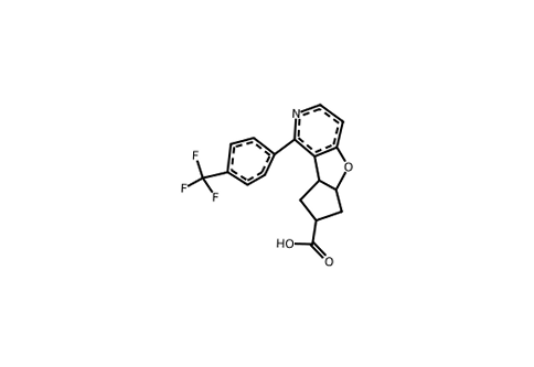 O=C(O)C1CC2Oc3ccnc(-c4ccc(C(F)(F)F)cc4)c3C2C1